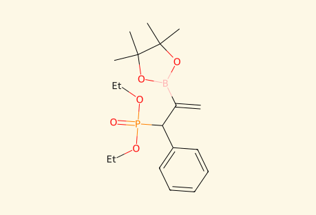 C=C(B1OC(C)(C)C(C)(C)O1)C(c1ccccc1)P(=O)(OCC)OCC